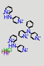 Br.C[n+]1ccc(N(c2ccccc2)c2cccc[n+]2C)cc1.C[n+]1ccc(Nc2cccc[n+]2C)cc1.C[n+]1ccc(Nc2cccc[n+]2C)cc1.Cl.I